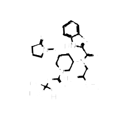 CC(C)CN(C(=O)c1nc2ccccc2[nH]1)[C@H]1C[C@@H](CN2CCCC2=O)CN(C(=O)OC(C)(C)C)C1